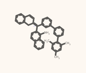 Cc1cc(C)c(-c2cccc(-c3cccc(/C(=C4\C=Cc5ccccc5C4)c4ccc5ccccc5c4N)c3)c2)c(C)c1